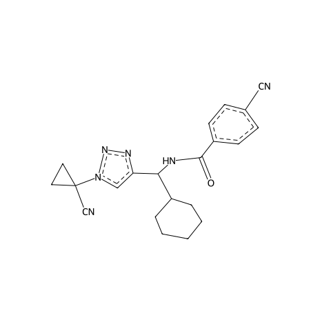 N#Cc1ccc(C(=O)NC(c2cn(C3(C#N)CC3)nn2)C2CCCCC2)cc1